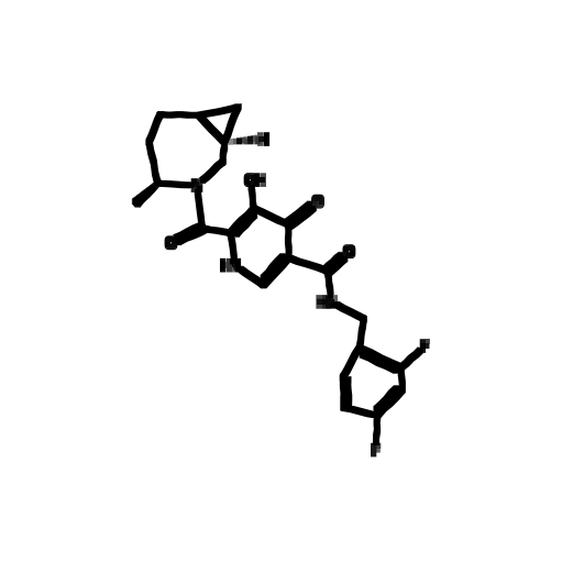 C[C@H]1CCC2C[C@H]2CN1C(=O)c1[nH]cc(C(=O)NCc2ccc(F)cc2F)c(=O)c1O